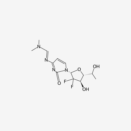 CC(O)[C@H]1O[C@@H](n2ccc(N=CN(C)C)nc2=O)C(F)(F)[C@@H]1O